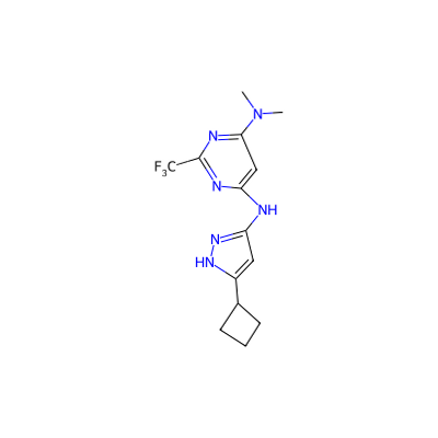 CN(C)c1cc(Nc2cc(C3CCC3)[nH]n2)nc(C(F)(F)F)n1